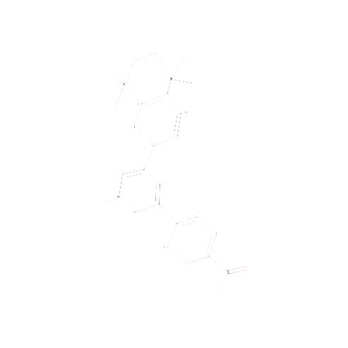 CC1(C)CCC(C)(C)c2cc(-c3cc(O)cc(-c4ccc(C(=O)O)cc4)c3)ccc21